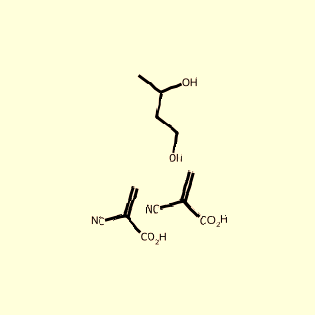 C=C(C#N)C(=O)O.C=C(C#N)C(=O)O.CC(O)CCO